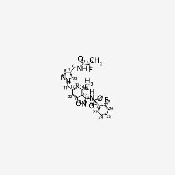 C=C(F)C(=O)NCc1cnn(Cc2cc(C)c3c(NS(=O)(=O)c4ccccc4F)noc3c2)c1